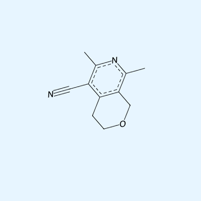 Cc1nc(C)c2c(c1C#N)CCOC2